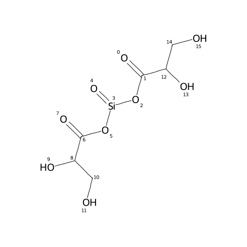 O=C(O[Si](=O)OC(=O)C(O)CO)C(O)CO